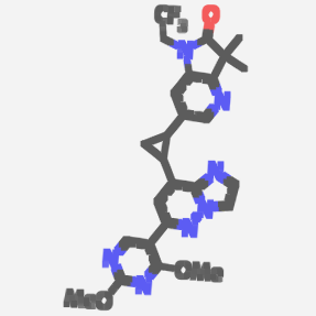 COc1ncc(-c2cc(C3CC3c3cnc4c(c3)N(CC(F)(F)F)C(=O)C4(C)C)c3nccn3n2)c(OC)n1